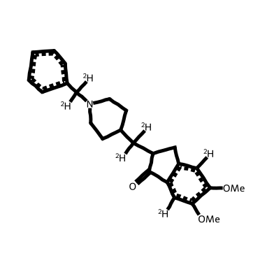 [2H]c1c2c(c([2H])c(OC)c1OC)C(=O)C(C([2H])([2H])C1CCN(C([2H])([2H])c3ccccc3)CC1)C2